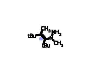 C/C(=C(\N(C)N)C(C)(C)C)C(C)(C)C